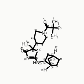 CC(C)(F)C(=O)N1CCC(C2(C)SC(N[C@H]3C[C@H]4CC[C@H]3C4)=NC2=O)CC1